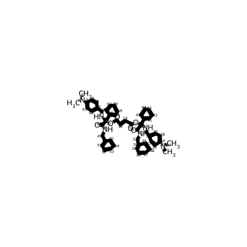 CN(C)c1ccc(CNC(OC(=O)/C=C/C(=O)OC(NCc2ccc(N(C)C)cc2)(C(=O)NCc2ccccc2)c2ccccc2)(C(=O)NCc2ccccc2)c2ccccc2)cc1